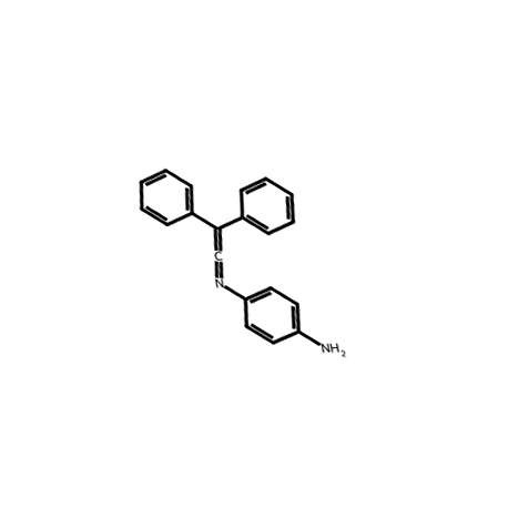 Nc1ccc(N=C=C(c2ccccc2)c2ccccc2)cc1